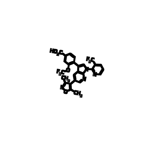 Cc1noc(C)c1-c1cnc2c(c1)c(-c1ccc(C(=O)O)cc1OC(F)(F)F)cn2-c1ncccc1C(F)(F)F